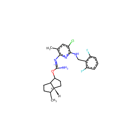 Cc1cc(Cl)c(NCc2c(F)cccc2F)nc1/N=C(\N)OC1CC[C@@H]2C(C)CCC12